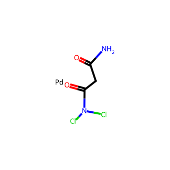 NC(=O)CC(=O)N(Cl)Cl.[Pd]